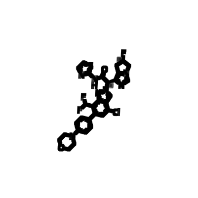 O=C(Nc1nccs1)[C@@H](c1ncn2c1C[C@@H](F)C2)n1cc2c(Cl)cc(-c3ccc(N4CCOCC4)cc3)c(C(F)F)c2n1